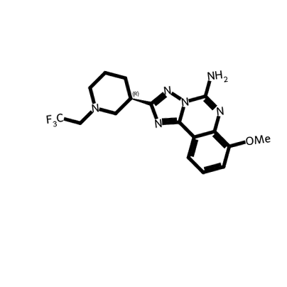 COc1cccc2c1nc(N)n1nc([C@@H]3CCCN(CC(F)(F)F)C3)nc21